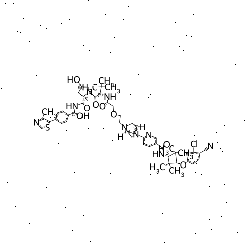 Cc1ncsc1-c1ccc([C@H](O)NC(=O)[C@@H]2C[C@@H](O)CN2C(=O)[C@@H](NC(=O)COCCN2C[C@@H]3C[C@H]2CN3c2ccc(C(=O)N[C@H]3C(C)(C)[C@H](Oc4ccc(C#N)c(Cl)c4)C3(C)C)cn2)C(C)(C)C)cc1